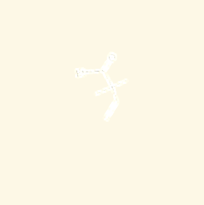 C=CC(C)(C)C(=O)CC